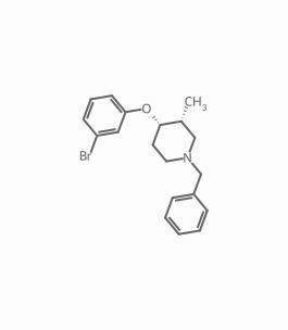 C[C@@H]1CN(Cc2ccccc2)CC[C@@H]1Oc1cccc(Br)c1